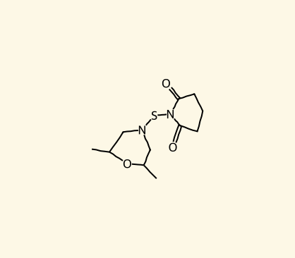 CC1CN(SN2C(=O)CCCC2=O)CC(C)O1